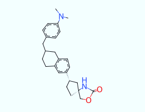 CN(C)c1ccc(CC2CCc3cc([C@H]4CC[C@]5(COC(=O)N5)C4)ccc3C2)cc1